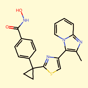 Cc1nc2ccccn2c1-c1csc(C2(c3ccc(C(=O)NO)cc3)CC2)n1